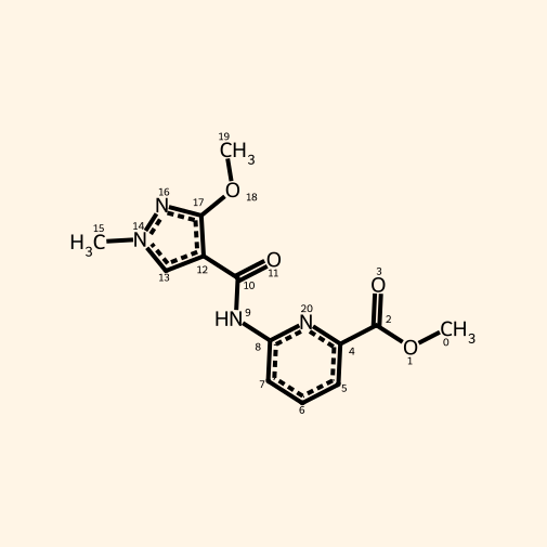 COC(=O)c1cccc(NC(=O)c2cn(C)nc2OC)n1